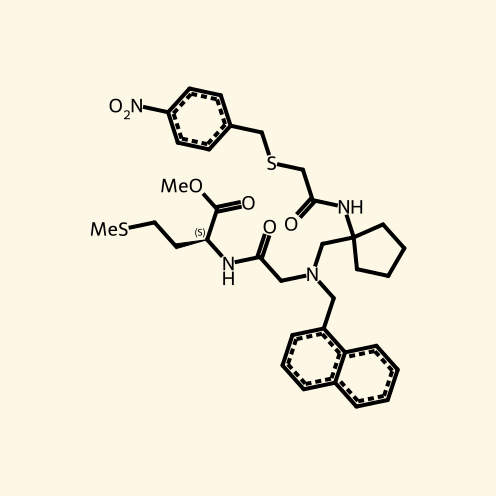 COC(=O)[C@H](CCSC)NC(=O)CN(Cc1cccc2ccccc12)CC1(NC(=O)CSCc2ccc([N+](=O)[O-])cc2)CCCC1